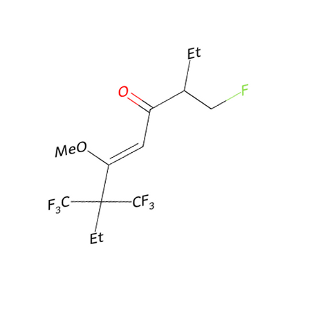 CCC(CF)C(=O)/C=C(\OC)C(CC)(C(F)(F)F)C(F)(F)F